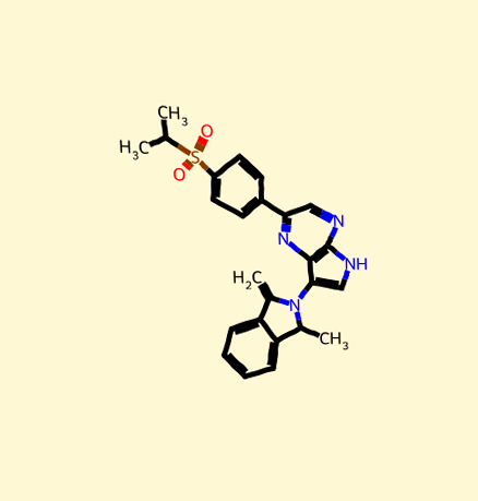 C=C1c2ccccc2C(C)N1c1c[nH]c2ncc(-c3ccc(S(=O)(=O)C(C)C)cc3)nc12